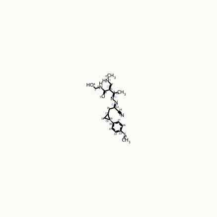 CN/C=C(C(=O)NCO)/C(C)=N/N=C(/C#N)CC1C[C@@H]1c1ccc(SC)cc1